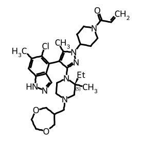 C=CC(=O)N1CCC(n2nc(N3CCN(CC4COCCOC4)C[C@]3(C)CC)c(-c3c(Cl)c(C)cc4[nH]ncc34)c2C)CC1